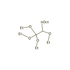 CCCCCCCCC(OCC)C(OCC)(OCC)OCC